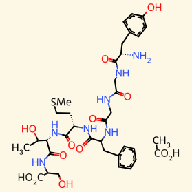 CC(=O)O.CSCC[C@H](NC(=O)[C@H](Cc1ccccc1)NC(=O)CNC(=O)CNC(=O)[C@@H](N)Cc1ccc(O)cc1)C(=O)N[C@H](C(=O)N[C@@H](CO)C(=O)O)C(C)O